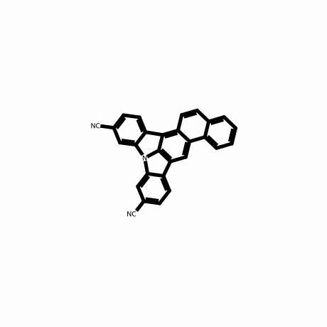 N#Cc1ccc2c3cc4c5ccccc5ccc4c4c5ccc(C#N)cc5n(c2c1)c34